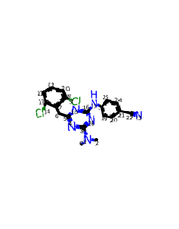 CN(C)c1nc(Cc2c(Cl)cccc2Cl)nc(Nc2ccc(C#N)cc2)n1